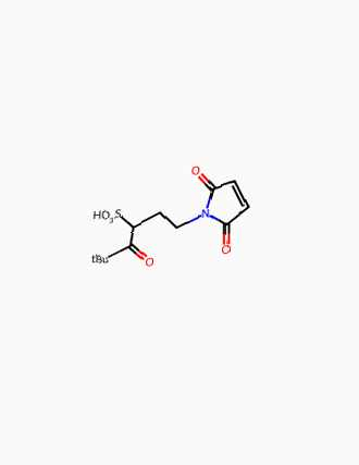 CC(C)(C)C(=O)C(CCN1C(=O)C=CC1=O)S(=O)(=O)O